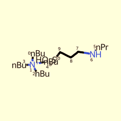 CCCC[N+](CCCC)(CCCC)CCCC.CCCNCCCS(=O)(=O)O